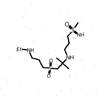 CCNCCCS(=O)(=O)CC(C)(C)NCCCS(C)(=N)=O